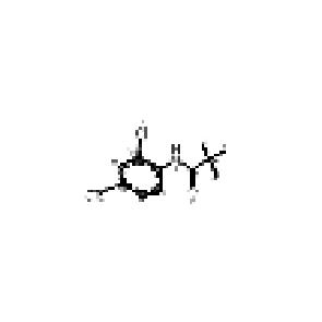 CC(C)(C)C(=O)Nc1ccc(Cl)cc1Cl